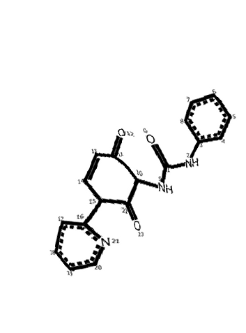 O=C(Nc1ccccc1)NC1C(=O)C=CC(c2ccccn2)C1=O